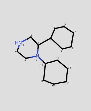 C1CCC(C2CNCCN2C2CCCCC2)CC1